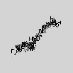 CC(CCNC(=O)CN1CCC(c2ccc(NC3CCC(=O)NC3=O)cc2)CC1)CC(C)CC(=O)NCCCn1cc(-c2ccc3c(c2)CCN3C(=O)Cc2cccc(OC(F)(F)F)c2)c2c(N)ncnc21